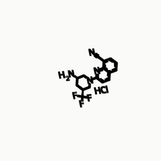 Cl.N#Cc1cccc2ccc(N3C[C@H](N)C[C@H](C(F)(F)F)C3)nc12